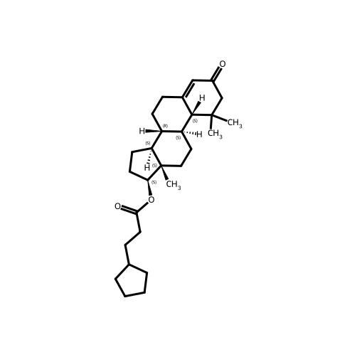 CC1(C)CC(=O)C=C2CC[C@@H]3[C@H](CC[C@]4(C)[C@@H](OC(=O)CCC5CCCC5)CC[C@@H]34)[C@H]21